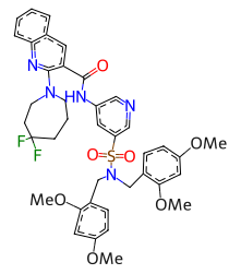 COc1ccc(CN(Cc2ccc(OC)cc2OC)S(=O)(=O)c2cncc(NC(=O)c3cc4ccccc4nc3N3CCCC(F)(F)CC3)c2)c(OC)c1